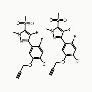 C#CCOc1cc(-c2nn(C)c(S(C)(=O)=O)c2Br)c(F)cc1Cl.C#CCOc1cc(-c2nn(C)c(S(C)(=O)=O)c2Cl)c(F)cc1Cl